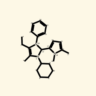 CCC1=C(C)N(C2CCCCC2)C(c2ccc(C)n2C)N1c1ccccc1